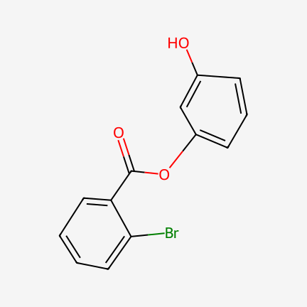 O=C(Oc1cccc(O)c1)c1ccccc1Br